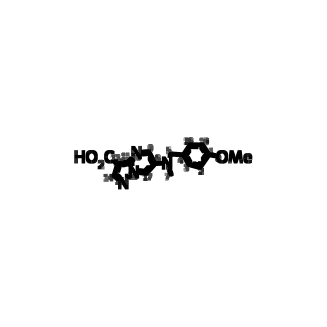 COc1ccc(CN(C)c2cnc3c(C(=O)O)cnn3c2)cc1